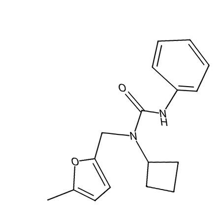 Cc1ccc(CN(C(=O)Nc2ccccc2)C2CCC2)o1